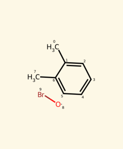 Cc1ccccc1C.[O]Br